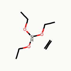 C=C.CCO[SiH](OCC)OCC